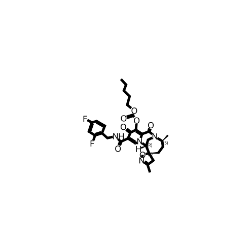 CCCCCOC(=O)Oc1c2n(cc(C(=O)NCc3ccc(F)cc3F)c1=O)[C@@H]1CN(C2=O)[C@@H](C)CC[C@]12CC(C)=NO2